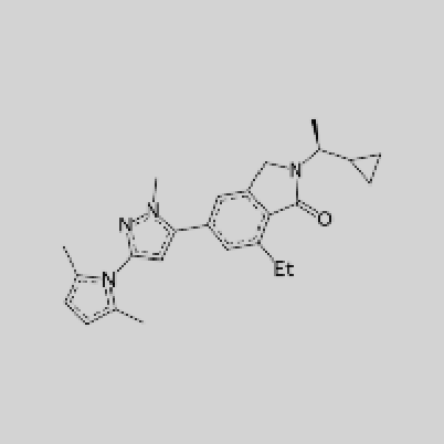 CCc1cc(-c2cc(-n3c(C)ccc3C)nn2C)cc2c1C(=O)N([C@@H](C)C1CC1)C2